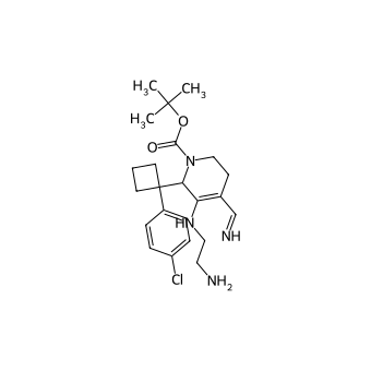 CC(C)(C)OC(=O)N1CCC(C=N)=C(NCCN)C1C1(c2ccc(Cl)cc2)CCC1